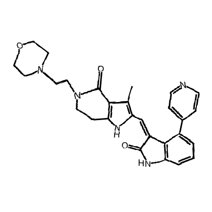 Cc1c(C=C2C(=O)Nc3cccc(-c4ccncc4)c32)[nH]c2c1C(=O)N(CCN1CCOCC1)CC2